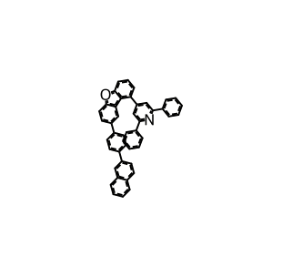 c1ccc(-c2cc(-c3cccc4oc5ccc(-c6ccc(-c7ccc8ccccc8c7)cc6)cc5c34)cc(-c3ccccc3)n2)cc1